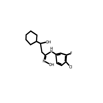 O/N=C(/CC(O)C1CCCCC1)Nc1ccc(Cl)c(F)c1